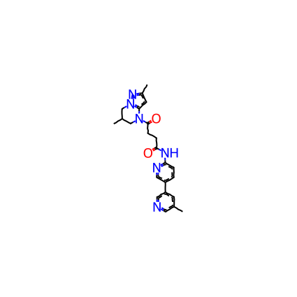 Cc1cncc(-c2ccc(NC(=O)CCC(=O)N3CC(C)Cn4nc(C)cc43)nc2)c1